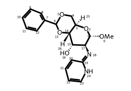 CO[C@H]1O[C@@H]2COC(c3ccccc3)O[C@H]2[C@@H](O)[C@@H]1N=c1cccc[nH]1